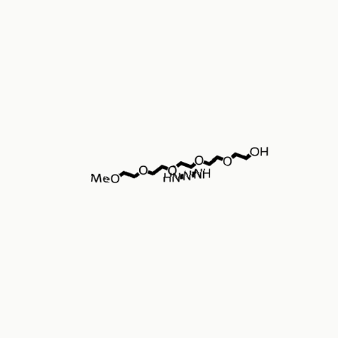 COCCOCCOCCOCCOCCO.N=[N+]=N